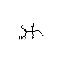 O=C(O)C(F)(Cl)CF